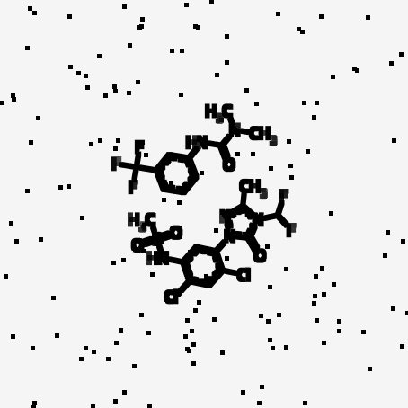 CN(C)C(=O)Nc1cccc(C(F)(F)F)c1.Cc1nn(-c2cc(NS(C)(=O)=O)c(Cl)cc2Cl)c(=O)n1C(F)F